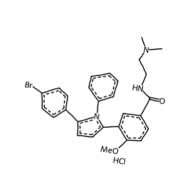 COc1ccc(C(=O)NCCN(C)C)cc1-c1ccc(-c2ccc(Br)cc2)n1-c1ccccc1.Cl